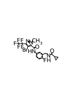 Cn1nc(C(F)(F)C(F)(F)F)c(Br)c1C(=O)Nc1ccc(F)c(CNC(=O)C2CC2)c1